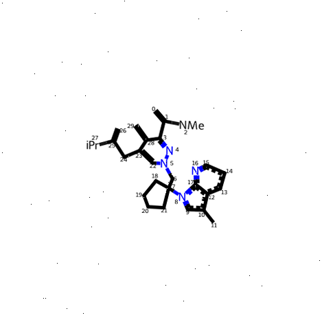 C=C(NC)C1=NN(CC2(n3cc(C)c4cccnc43)CCCC2)C=C(CC(=C)C(C)C)C1=C